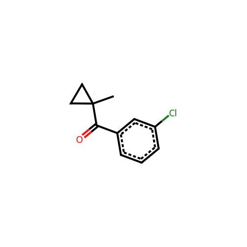 CC1(C(=O)c2cccc(Cl)c2)CC1